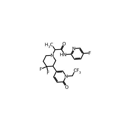 CC(C(=O)Nc1ccc(F)cn1)N1CCC(F)(F)C(c2ccc(=O)n(CC(F)(F)F)c2)C1